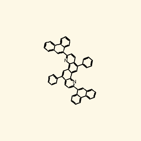 c1ccc(-c2cc3c(cc(-c4ccccc4)c4ccc(-c5cc6ccccc6c6ccccc56)nc43)c3nc(-c4cc5ccccc5c5ccccc45)ccc23)cc1